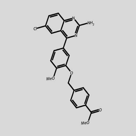 COC(=O)c1ccc(COc2cc(-c3nc(N)nc4ccc(Cl)cc34)ccc2OC)cc1